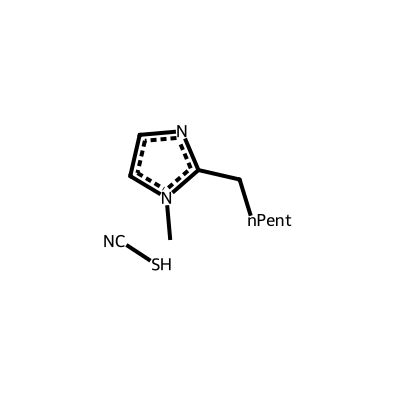 CCCCCCc1nccn1C.N#CS